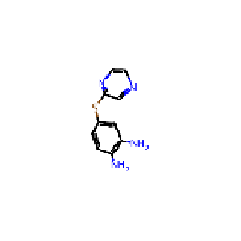 Nc1ccc(Sc2cnccn2)cc1N